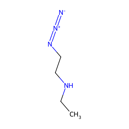 CCNCCN=[N+]=[N-]